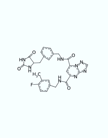 Cc1cc(CNC(=O)c2cc(C(=O)NCc3cccc(CC4NC(=O)NC4=O)c3)n3ncnc3n2)ccc1F